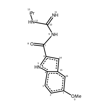 COc1ccc2[nH]c(C(=O)NC(=N)NC(C)C)cc2c1